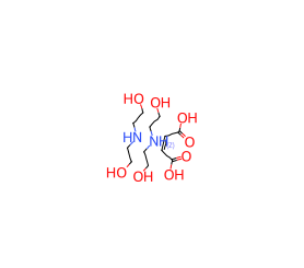 O=C(O)/C=C\C(=O)O.OCCNCCO.OCCNCCO